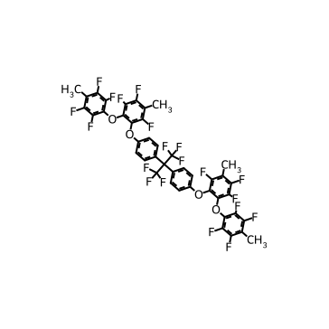 Cc1c(F)c(F)c(Oc2c(F)c(F)c(C)c(F)c2Oc2ccc(C(c3ccc(Oc4c(F)c(C)c(F)c(F)c4Oc4c(F)c(F)c(C)c(F)c4F)cc3)(C(F)(F)F)C(F)(F)F)cc2)c(F)c1F